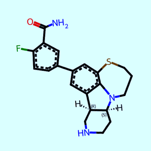 NC(=O)c1cc(-c2cc3c4c(c2)[C@@H]2CNCC[C@@H]2N4CCCS3)ccc1F